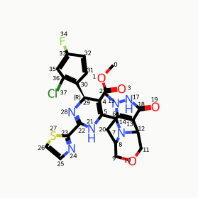 COC(=O)C1=C(CN2C3COCC2c2c(n(C)[nH]c2=O)C3)NC(c2nccs2)=N[C@H]1c1ccc(F)cc1Cl